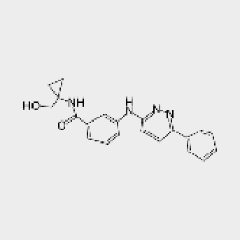 O=C(NC1(CO)CC1)c1cccc(Nc2ccc(-c3ccccc3)nn2)c1